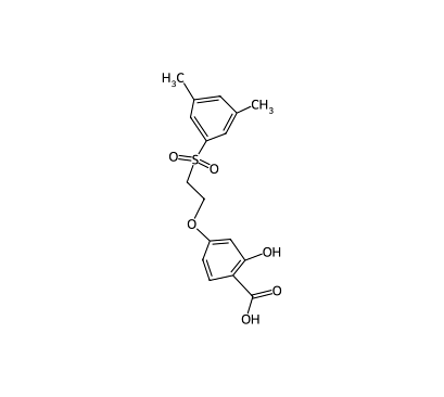 Cc1cc(C)cc(S(=O)(=O)CCOc2ccc(C(=O)O)c(O)c2)c1